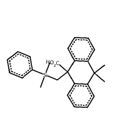 CC1(C)c2ccccc2C(C[Si](C)(C)c2ccccc2)(C(=O)O)c2ccccc21